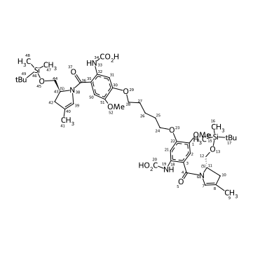 COc1cc(C(=O)N2C=C(C)C[C@H]2CO[Si](C)(C)C(C)(C)C)c(NC(=O)O)cc1OCCCCCOc1cc(NC(=O)O)c(C(=O)N2C=C(C)C[C@H]2CO[Si](C)(C)C(C)(C)C)cc1OC